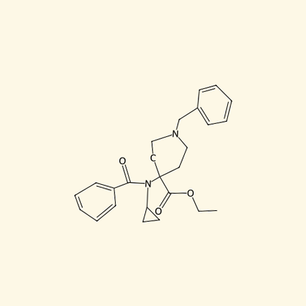 CCOC(=O)C1(N(C(=O)c2ccccc2)C2CC2)CCN(Cc2ccccc2)CC1